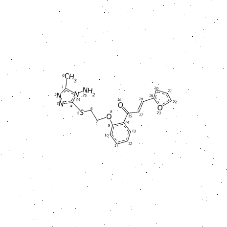 Cc1nnc(SCCOc2ccccc2C(=O)C=Cc2ccco2)n1N